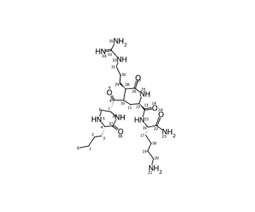 CCCC[C@@H]1NC[C@H](C(=O)C2C[C@H](C(=O)N[C@@H](CCCCN)C(N)=O)NC(=O)[C@@H]2CCCNC(=N)N)NC1=O